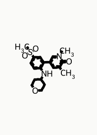 Cc1cc(-c2cc(S(C)(=O)=O)ccc2NC2CCOCC2)cn(C)c1=O